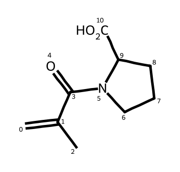 C=C(C)C(=O)N1CCCC1C(=O)O